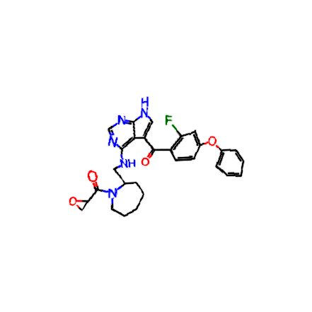 O=C(c1ccc(Oc2ccccc2)cc1F)c1c[nH]c2ncnc(NCC3CCCCCN3C(=O)C3CO3)c12